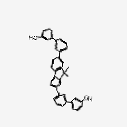 CC1(C)c2cc(-c3cccc(-c4cccc(O)c4)c3)ccc2-c2ccc(-c3cccc(-c4cccc(O)c4)c3)cc21